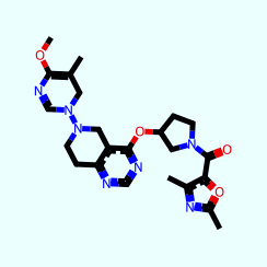 COC1=C(C)CN(N2CCc3ncnc(OC4CCN(C(=O)c5oc(C)nc5C)C4)c3C2)C=N1